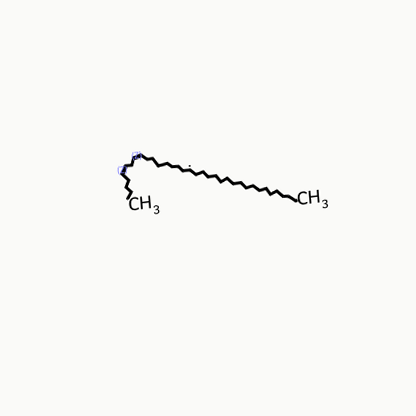 CCCCC/C=C\C/C=C\CCCCCCC[CH]CCCCCCCCCCCCCCCCCC